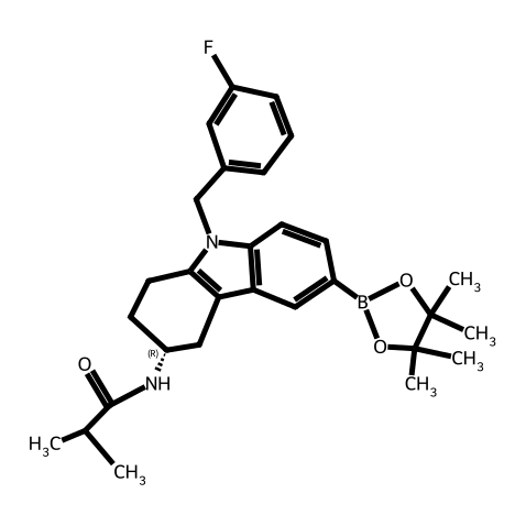 CC(C)C(=O)N[C@@H]1CCc2c(c3cc(B4OC(C)(C)C(C)(C)O4)ccc3n2Cc2cccc(F)c2)C1